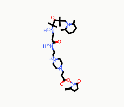 C=C1CCC(=O)N1OC(=O)CCN1CC[15N](CC[15NH]C(=O)CC[15NH]C(C)(C)C(=O)C(C)(C)CN2C(C)CCCC2C)CC1